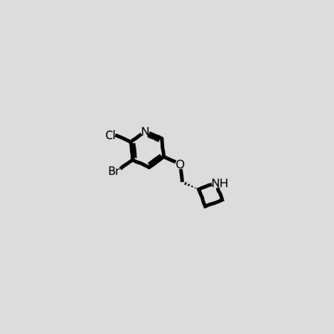 Clc1ncc(OC[C@H]2CCN2)cc1Br